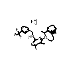 Cc1nc(NCc2cccc(C(F)(F)F)c2)nc(N2CCc3ccccc3C2C)c1C.Cl